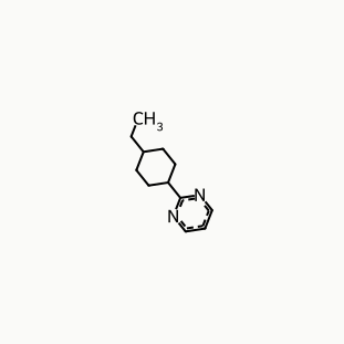 CCC1CCC(c2ncccn2)CC1